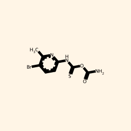 Cc1nc(NC(=S)OC(N)=O)ccc1Br